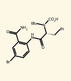 CC(C)C[C@H](C(=O)Nc1ccc(Br)cc1C(N)=O)N(C(=O)O)C(C)(C)C